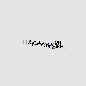 C=COCCCCO/C=C/CCN(C)C